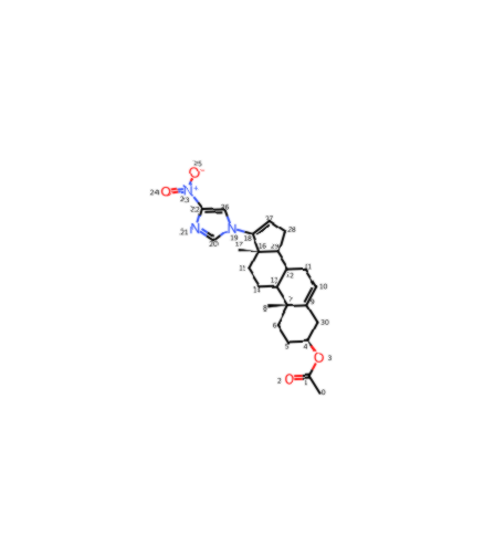 CC(=O)O[C@H]1CC[C@@]2(C)C(=CCC3C2CC[C@]2(C)C(n4cnc([N+](=O)[O-])c4)=CCC32)C1